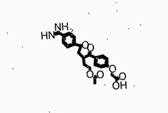 CC(=O)OCCC(CC(=O)c1ccc(C(=N)N)cc1)C(=O)c1ccc(OCC(=O)O)cc1